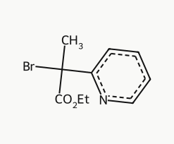 CCOC(=O)C(C)(Br)c1ccccn1